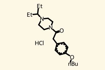 CCCCOc1ccc(CC(=O)N2CCN(C(CC)CC)CC2)cc1.Cl